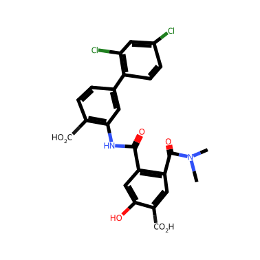 CN(C)C(=O)c1cc(C(=O)O)c(O)cc1C(=O)Nc1cc(-c2ccc(Cl)cc2Cl)ccc1C(=O)O